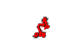 CCCCC(CC)CN1c2cccc3cccc(c23)C1/C=C/C1=C(S(=O)(=O)c2ccc(C(=O)OCCC(C)(C)OCCC(C)(C)OCCOCCOC(=O)c3ccc(S(=O)(=O)C4=C(/C=C/C5=[N+](CC(CC)CCCC)c6cccc7cccc5c67)CC/C4=C\C=c4/c5cccc6cccc(c65)n4CC(CC)CCCC)cc3)cc2)C(=C/C=c2\c3cccc4cccc(c43)n2CC(CC)CCCC)/CC1